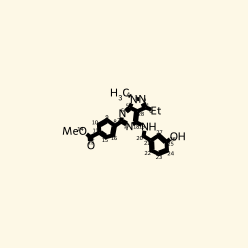 CCc1nn(C)c2nc(-c3ccc(C(=O)OC)cc3)nc(NCc3cccc(O)c3)c12